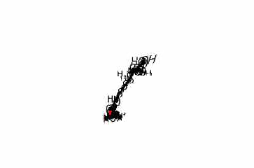 CN(C)c1ccc2c(-c3ccc(CC(=O)NCCOCCOCCOCCOCCC(=O)NCCCc4cn([C@@H]5O[C@H](COP(=O)(O)O)C(OP(=O)(O)O)C5O)c(=O)nc4N)cc3C(=O)[O-])c3ccc(=[N+](C)C)cc-3oc2c1